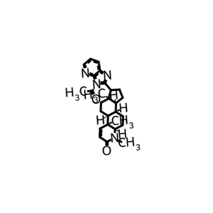 CC(=O)n1c(C2CC[C@H]3[C@@H]4CC[C@H]5N(C)C(=O)C=C[C@]5(C)[C@H]4CC[C@]23C)nc2cccnc21